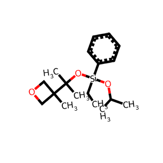 CC[Si](OC(C)C)(OC(C)(C)C1(C)COC1)c1ccccc1